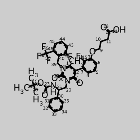 Cc1c(-c2cccc(OCCCC(=O)O)c2F)c(=O)n(CC(NC(=O)OC(C)(C)C)c2ccccc2)c(=O)n1Cc1c(F)cccc1C(F)(F)F